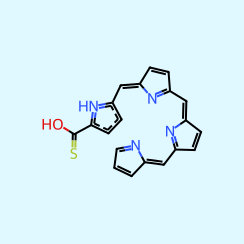 OC(=S)c1ccc(C=C2C=CC(C=C3C=CC(C=C4C=CC=N4)=N3)=N2)[nH]1